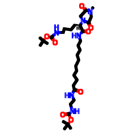 CN1CC(=O)N([C@@H](CCCCNC(=O)OC(C)(C)C)C(=O)NCCCCCCCCCCC(=O)NCCNC(=O)OC(C)(C)C)CC1=O